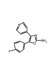 Nc1nc(-c2ccncc2)c(-c2ccc(F)cc2)o1